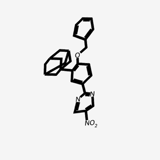 O=[N+]([O-])c1cnc(-c2ccc(OCc3ccccc3)c(C34CC5CC(CC(C5)C3)C4)c2)nc1